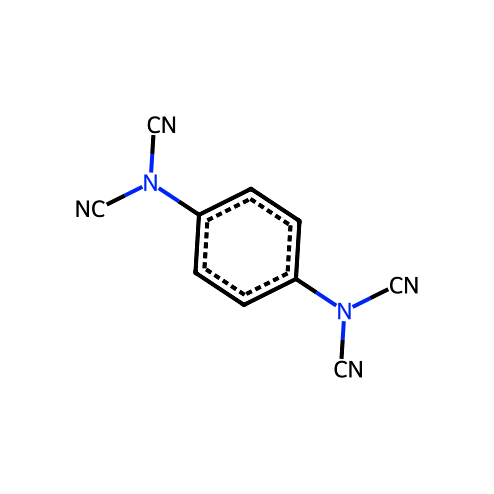 N#CN(C#N)c1ccc(N(C#N)C#N)cc1